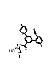 COCC(CO)NC(=O)c1cc(-c2ccc(C)cn2)cc(-c2cc(C)ccc2C#N)c1